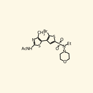 CCN(N1CCOCC1)S(=O)(=O)c1cc(-c2sc(NC(C)=O)nc2C)c(Br)s1